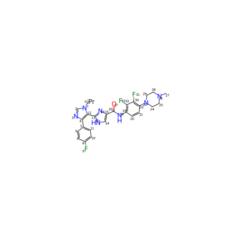 CC(C)n1cnc(-c2ccc(F)cc2)c1-c1nc(C(=O)Nc2ccc(N3CCN(C)CC3)c(F)c2F)c[nH]1